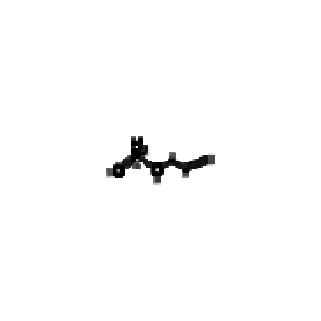 C=CCO[PH2]=O